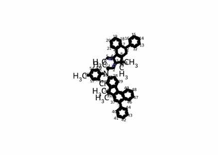 C=C(/C=C1\C(=C/C)C2=C(CC(c3ccccc3)c3ccccc32)C1(C)C)N(c1ccc2c(c1)C(C)(C)c1cc(-c3ccccc3)c3ccccc3c1-2)c1ccc(C)cc1C